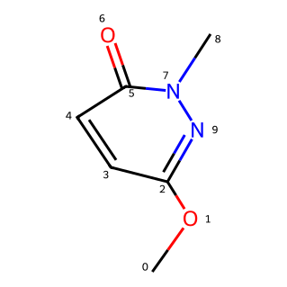 COc1ccc(=O)n(C)n1